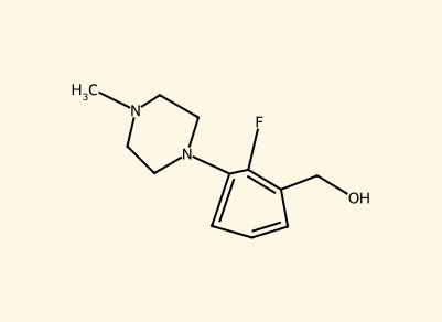 CN1CCN(c2cccc(CO)c2F)CC1